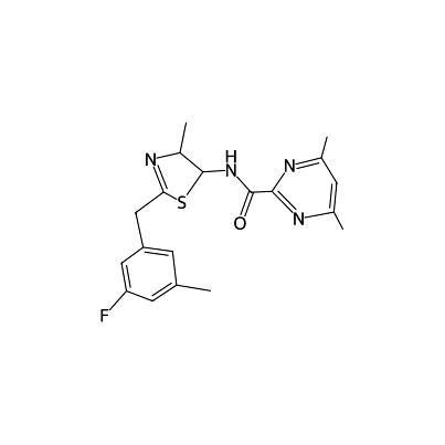 Cc1cc(F)cc(CC2=NC(C)C(NC(=O)c3nc(C)cc(C)n3)S2)c1